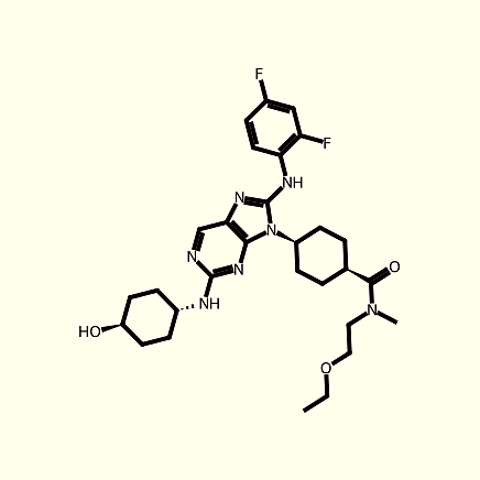 CCOCCN(C)C(=O)[C@H]1CC[C@@H](n2c(Nc3ccc(F)cc3F)nc3cnc(N[C@H]4CC[C@H](O)CC4)nc32)CC1